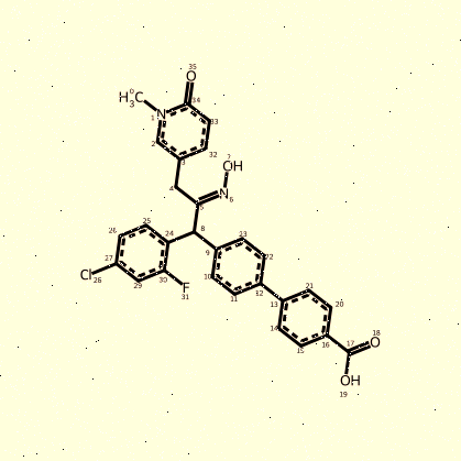 Cn1cc(C/C(=N\O)C(c2ccc(-c3ccc(C(=O)O)cc3)cc2)c2ccc(Cl)cc2F)ccc1=O